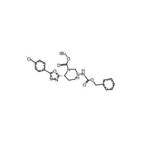 CC(C)(C)OC(=O)N1C[Si@@H](NC(=O)OCc2ccccc2)CC[C@@H]1c1nnc(-c2ccc(Cl)cc2)o1